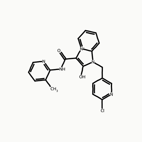 Cc1cccnc1NC(=O)c1c(O)n(Cc2ccc(Cl)nc2)c2cccc[n+]12